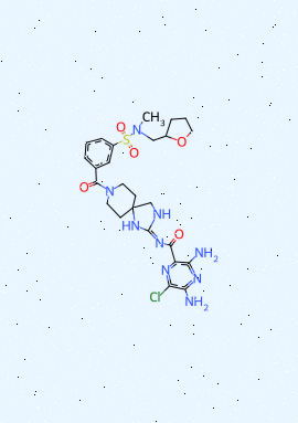 CN(CC1CCCO1)S(=O)(=O)c1cccc(C(=O)N2CCC3(CC2)CN/C(=N\C(=O)c2nc(Cl)c(N)nc2N)N3)c1